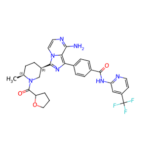 C[C@H]1CC[C@@H](c2nc(-c3ccc(C(=O)Nc4cc(C(F)(F)F)ccn4)cc3)c3c(N)nccn23)CN1C(=O)C1CCCO1